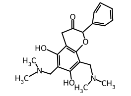 CN(C)Cc1c(O)c2c(c(CN(C)C)c1O)OC(c1ccccc1)C(=O)C2